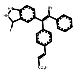 CC(C)/C(=C(/c1ccc(/C=C/C(=O)O)cc1)c1ccc2c(c1)C(F)NN2)c1ccccc1